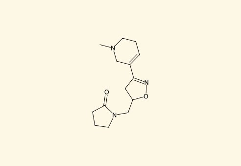 CN1CCC=C(C2=NOC(CN3CCCC3=O)C2)C1